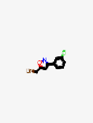 Clc1cccc(-c2cc(CBr)on2)c1